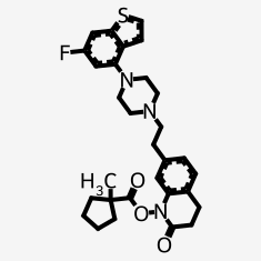 CC1(C(=O)ON2C(=O)CCc3ccc(CCN4CCN(c5cc(F)cc6sccc56)CC4)cc32)CCCC1